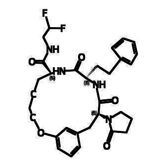 O=C(NCC(F)F)[C@@H]1CCCCOc2cccc(c2)C[C@H](N2CCCC2=O)C(=O)N[C@@H](CCc2ccccc2)C(=O)N1